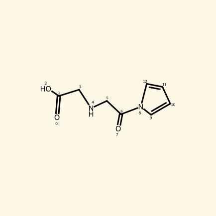 O=C(O)CNCC(=O)n1cccc1